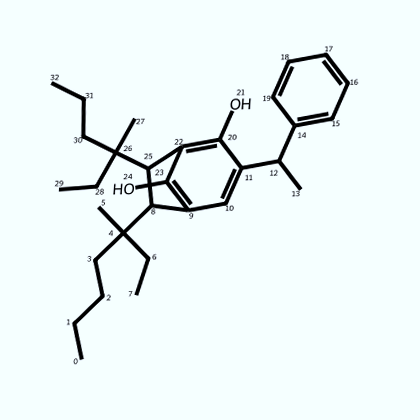 CCCCC(C)(CC)C1c2cc(C(C)c3ccccc3)c(O)c(c2O)C1C(C)(CC)CCC